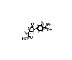 CN(C(=O)O)[C@@H]1CN(c2ccc(B(O)O)c(F)c2)C(=O)O1